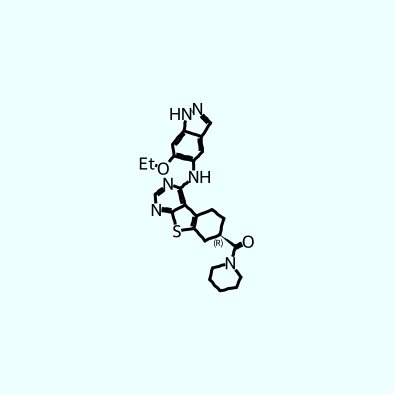 CCOc1cc2[nH]ncc2cc1Nc1ncnc2sc3c(c12)CC[C@@H](C(=O)N1CCCCC1)C3